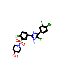 O=S(=O)(c1cc(-c2nc(-c3ccc(Br)c(F)c3)c(Cl)[nH]2)ccc1Cl)N1CCC(O)CC1